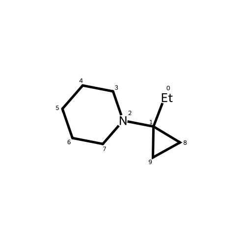 CCC1(N2CC[CH]CC2)CC1